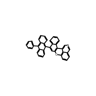 c1ccc(-c2c3ccccc3c(-c3cc4c(c5ccccc35)-c3cncc5cccc(c35)O4)c3ccccc23)cc1